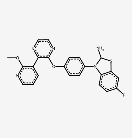 COc1ncccc1-c1nccnc1Oc1ccc(N2c3ccc(F)cc3SC2N)cc1